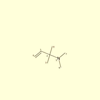 C=CC(C)(C)N(C)C